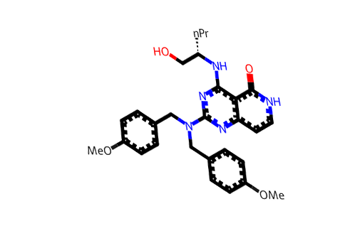 CCC[C@@H](CO)Nc1nc(N(Cc2ccc(OC)cc2)Cc2ccc(OC)cc2)nc2cc[nH]c(=O)c12